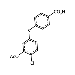 CC(=O)Oc1cc(Sc2ccc(C(=O)O)cc2)ccc1Cl